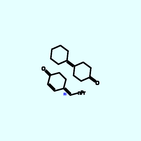 CCC/C=C1/C=CC(=O)CC1.O=C1CCC(=C2CCCCC2)CC1